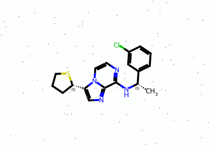 C[C@H](Nc1nccn2c([C@@H]3CCCS3)cnc12)c1cccc(Cl)c1